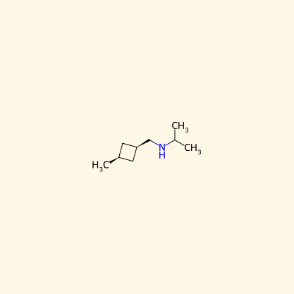 CC(C)NC[C@H]1C[C@@H](C)C1